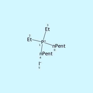 CCCCC[P+](CC)(CC)CCCCC.[I-]